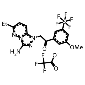 CCc1ccc2n(n1)c(N)n[n+]2CC(=O)c1cc(OC)cc(S(F)(F)(F)(F)F)c1.O=C([O-])C(F)(F)F